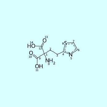 NC(CCc1nccs1)(C(=O)O)C(=O)O